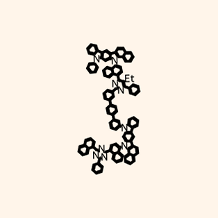 CCc1c(-c2ccccc2)nc(-c2cccc(-c3ccc(-c4cccc(-n5c6ccccc6c6cc7c8ccc9ccccc9c8n(-c8ccc(-c9nc(-c%10ccccc%10)nc(-c%10cccc%11ccccc%10%11)n9)c9ccccc89)c7cc65)c4)cc3)c2)nc1-c1ccc(-n2c3cc4c(cc3c3ccc5ccccc5c32)c2ccccc2n4-c2ccccc2)c2ccccc12